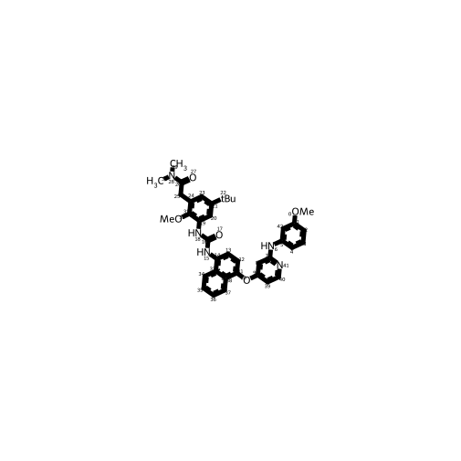 COc1cccc(Nc2cc(Oc3ccc(NC(=O)Nc4cc(C(C)(C)C)cc(CC(=O)N(C)C)c4OC)c4ccccc34)ccn2)c1